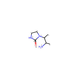 CC(N)C(C)N1CCNC1=O